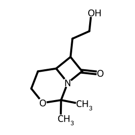 CC1(C)OCCC2C(CCO)C(=O)N21